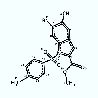 COC(=O)c1cc2cc(C)c(Br)cc2n1S(=O)(=O)c1ccc(C)cc1